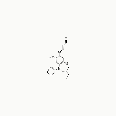 CCC1CSc2cc(OCCC=O)c(SC)cc2N(c2ccccc2)C1